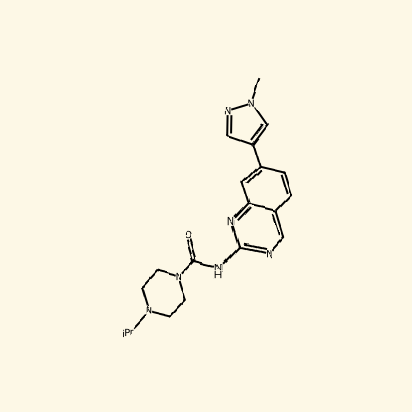 CC(C)N1CCN(C(=O)Nc2ncc3ccc(-c4cnn(C)c4)cc3n2)CC1